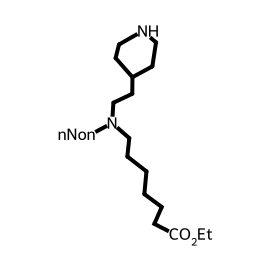 CCCCCCCCCN(CCCCCCC(=O)OCC)CCC1CCNCC1